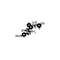 CNC1CC=C(c2cnc(N)c3c(-c4ccc(NC(=O)Nc5cc(F)cc(C#N)c5)c5ccccc45)nc(C(C)C)n23)CC1